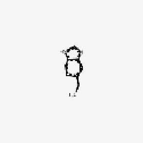 FC(F)(F)Cc1ccc2[nH][c]nc2c1